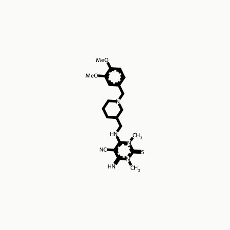 COc1ccc(CN2CCCC(CNc3c(C#N)c(=N)n(C)c(=S)n3C)C2)cc1OC